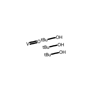 CC(C)(C)O.CC(C)(C)O.CC(C)(C)O.[O]=[V]